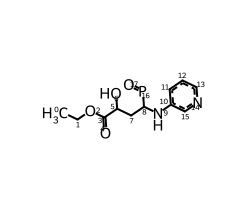 CCOC(=O)C(O)CC(Nc1cccnc1)P=O